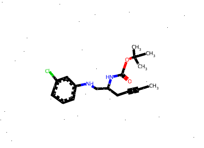 CC#CCC(CNc1cccc(Cl)c1)NC(=O)OC(C)(C)C